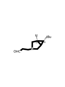 CC(C)(C)[C@@H]1C2CN(CCC=O)C[C@H]21